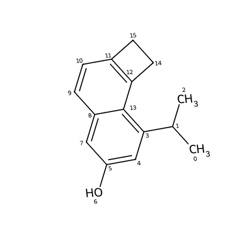 CC(C)c1cc(O)cc2ccc3c(c12)CC3